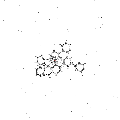 c1ccc(-c2cc(-c3ccccc3-c3ccccc3)nc(-c3ccc4c(c3)C3(c5ccccc5O4)c4ccccc4-c4ccccc43)n2)cc1